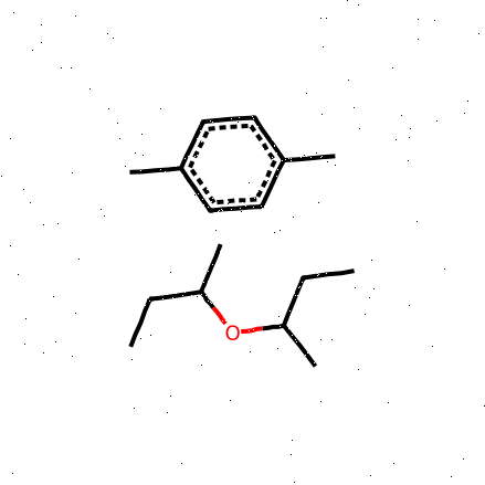 CCC(C)OC(C)CC.Cc1ccc(C)cc1